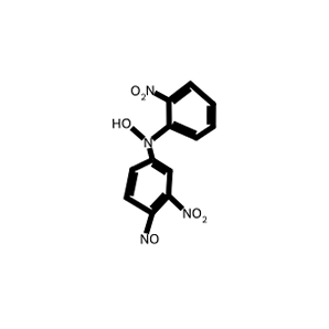 O=Nc1ccc(N(O)c2ccccc2[N+](=O)[O-])cc1[N+](=O)[O-]